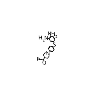 Nc1ccc(Sc2ccc(N3CCC(C(=O)C4CC4)CC3)cc2)cc1N